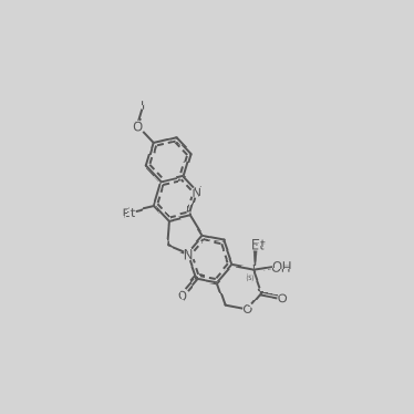 CCc1c2c(nc3ccc(OI)cc13)-c1cc3c(c(=O)n1C2)COC(=O)[C@]3(O)CC